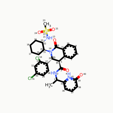 CC(NC(=O)[C@@H]1c2ccccc2C(=O)N([C@H]2CCCC[C@@H]2NS(C)(=O)=O)[C@H]1c1ccc(Cl)cc1Cl)c1cccc(=O)[nH]1